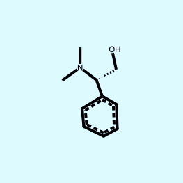 CN(C)[C@H](CO)c1ccccc1